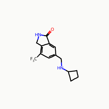 O=C1NCc2c1cc(CNC1CCC1)cc2C(F)(F)F